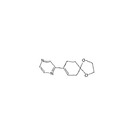 C1=C(c2cnccn2)CCC2(C1)OCCO2